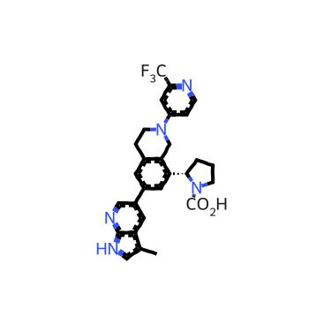 Cc1c[nH]c2ncc(-c3cc4c(c([C@@H]5CCCN5C(=O)O)c3)CN(c3ccnc(C(F)(F)F)c3)CC4)cc12